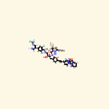 COC(=O)N[C@H](C(=O)N[C@@H](Cc1ccc(C#Cc2ccc(N3CC4CCC(C3)N4CC3(C)COC3)nc2)cc1)[C@@H](O)CNCc1c(F)cc(/C(C=N)=C/NC(F)F)cc1F)C(C)(C)C(F)(F)F